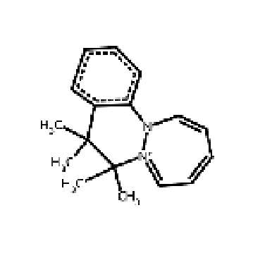 CC1(C)c2ccccc2N2C=CC=CC=[N+]2C1(C)C